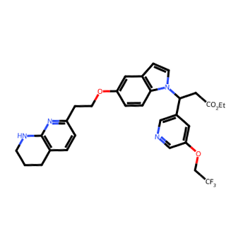 CCOC(=O)CC(c1cncc(OCC(F)(F)F)c1)n1ccc2cc(OCCc3ccc4c(n3)NCCC4)ccc21